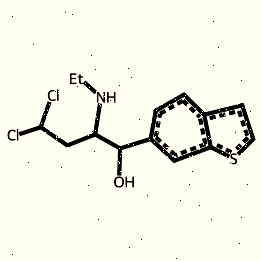 CCNC(CC(Cl)Cl)C(O)c1ccc2ccsc2c1